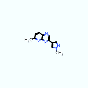 Cc1ccc2ncc(-c3cnn(C)c3)nc2n1